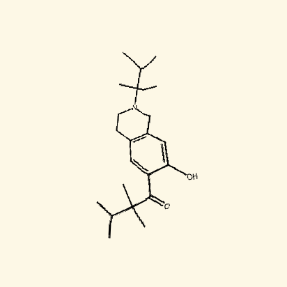 CC(C)C(C)(C)C(=O)c1cc2c(cc1O)CN(C(C)(C)C(C)C)CC2